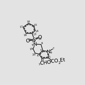 CCOC(=O)c1c(C=O)c2c(n1C)CN(S(=O)(=O)c1ccccc1)CC2